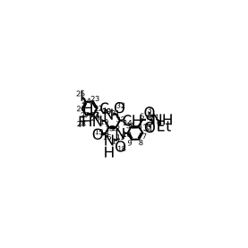 CCNS(=O)(=O)Cc1cccc(-n2c3c(c(=O)[nH]c2=O)C(Nc2ccc(I)cc2F)N(C)C(=O)C3C)c1